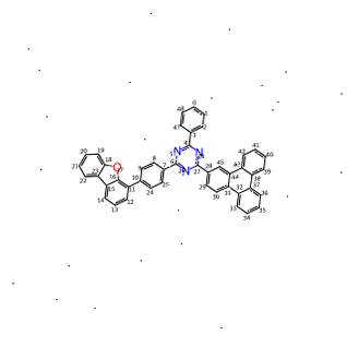 c1ccc(-c2nc(-c3ccc(-c4cccc5c4oc4ccccc45)cc3)nc(-c3ccc4c5ccccc5c5ccccc5c4c3)n2)cc1